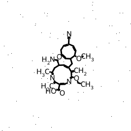 C=C1/N=C(/C)CC(C(N)=O)C=C(CC2C=CC/C=C(/C#N)C=CC2OC)C(=C)/C(OCC)=N\C=C/1C(=O)O